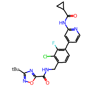 CC(C)(C)c1noc(C(=O)NCc2ccc(-c3ccnc(NC(=O)C4CC4)c3)c(F)c2Cl)n1